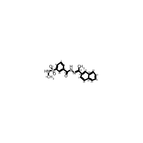 CNS(=O)(=O)c1cccc(C(=O)NN=C(C)c2ccc3ccccc3c2)c1